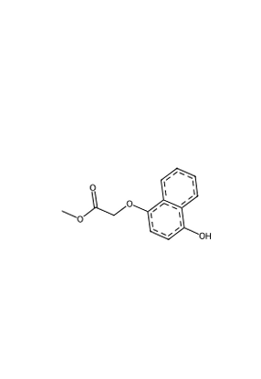 COC(=O)COc1ccc(O)c2ccccc12